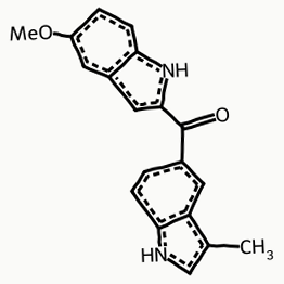 COc1ccc2[nH]c(C(=O)c3ccc4[nH]cc(C)c4c3)cc2c1